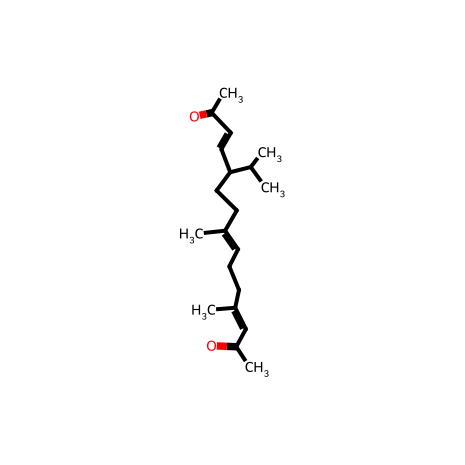 CC(=O)/C=C/C(CC/C(C)=C/CC/C(C)=C/C(C)=O)C(C)C